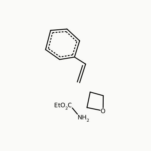 C1COC1.C=Cc1ccccc1.CCOC(N)=O